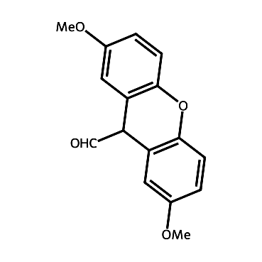 COc1ccc2c(c1)C(C=O)c1cc(OC)ccc1O2